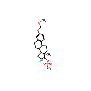 COCOc1ccc2c(c1)CCC1C2CC[C@@]2(C)C1C[C@H]([18F])[C@@H]2OS(C)(=O)=O